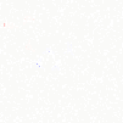 OC(O)(F)COc1nc(Nc2cccc(C(F)(F)F)c2)nc(-c2ccccc2)n1